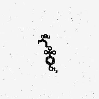 CCCC[C@H](F)CCOS(=O)(=O)c1ccc(C)cc1